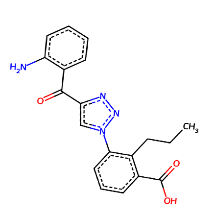 CCCc1c(C(=O)O)cccc1-n1cc(C(=O)c2ccccc2N)nn1